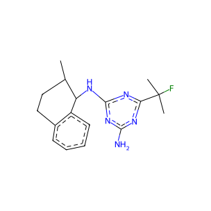 CC1CCc2ccccc2C1Nc1nc(N)nc(C(C)(C)F)n1